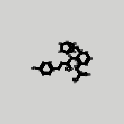 CC(CCc1ccc(F)cc1)SC1=C(OC(=O)O)C=CCN1CC1C2CCC1CC2